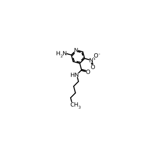 CCCCCNC(=O)c1cc(N)ncc1[N+](=O)[O-]